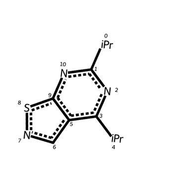 CC(C)c1nc(C(C)C)c2cnsc2n1